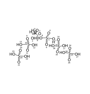 O.O.O.O.O=S(=O)(O)O.O=S(=O)(O)O.O=S(=O)(O)O.O=S(=O)(O)O.O=S(=O)(O)O